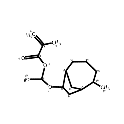 C=C(C)C(=O)OC(OC1CC2CC1CCCC2C)C(C)C